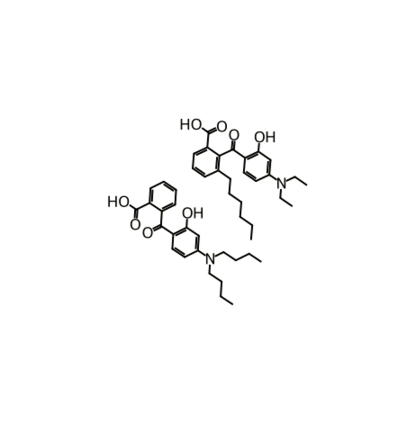 CCCCCCc1cccc(C(=O)O)c1C(=O)c1ccc(N(CC)CC)cc1O.CCCCN(CCCC)c1ccc(C(=O)c2ccccc2C(=O)O)c(O)c1